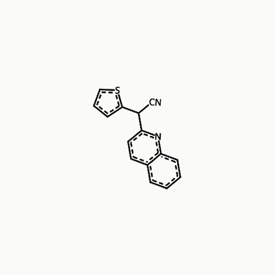 N#CC(c1ccc2ccccc2n1)c1cccs1